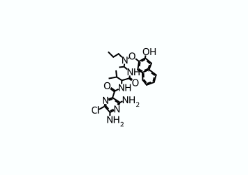 CCCN(Oc1cc2ccccc2cc1O)C(C)NC(=O)C(NC(=O)c1nc(Cl)c(N)nc1N)C(C)C